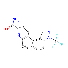 Cc1nc(C(N)=O)ccc1-c1cccc2c1cnn2C(F)(F)F